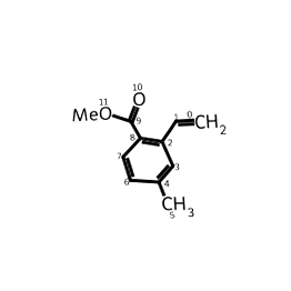 C=Cc1cc(C)ccc1C(=O)OC